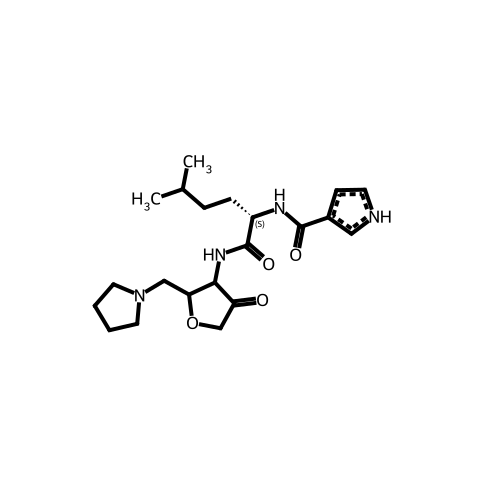 CC(C)CC[C@H](NC(=O)c1cc[nH]c1)C(=O)NC1C(=O)COC1CN1CCCC1